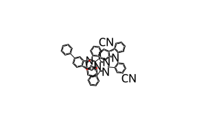 N#Cc1ccc(-n2c3ccccc3c3ccc(-c4ccccc4)cc32)c(-c2nc(-c3ccccc3)nc(-c3cc(C#N)ccc3-n3c4ccccc4c4ccc(-c5ccccc5)cc43)n2)c1